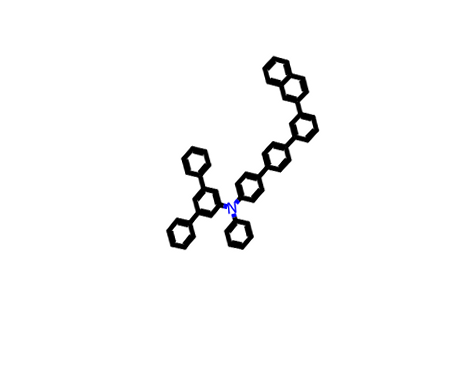 c1ccc(-c2cc(-c3ccccc3)cc(N(c3ccccc3)c3ccc(-c4ccc(-c5cccc(-c6ccc7ccccc7c6)c5)cc4)cc3)c2)cc1